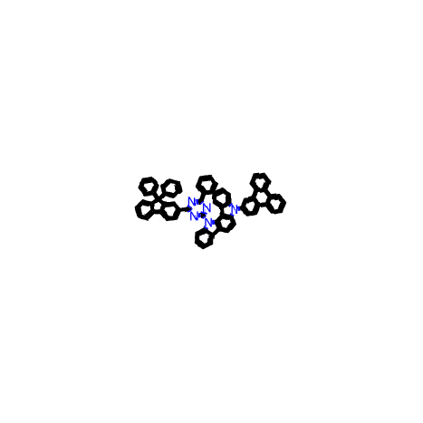 c1ccc(-c2nc(-c3ccc4c(c3)C(c3ccccc3)(c3ccccc3)c3ccccc3-4)nc(-n3c4ccccc4c4ccc5c(c6ccccc6n5-c5ccc6c7ccccc7c7ccccc7c6c5)c43)n2)cc1